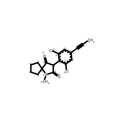 CC#Cc1cc(Cl)c(C2C(=O)N(C)C3(CCCC3)C2=O)c(Cl)c1